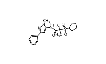 Cn1nc(-c2ccccc2)cc1NC(=O)C(C)(C)S(=O)(=O)C1CCCC1